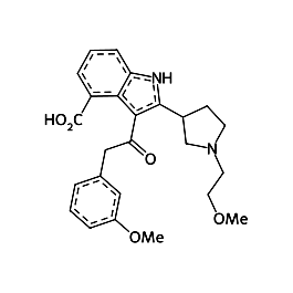 COCCN1CCC(c2[nH]c3cccc(C(=O)O)c3c2C(=O)Cc2cccc(OC)c2)C1